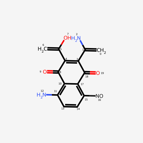 C=C(N)C1=C(C(=C)O)C(=O)c2c(N)ccc(N=O)c2C1=O